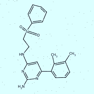 Cc1cccc(-c2cc(NCCS(=O)(=O)c3ccccc3)nc(N)n2)c1C